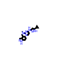 CN(Cc1cccc2[nH]ncc12)c1nccc(Nc2cc(C3CC3)[nH]n2)n1